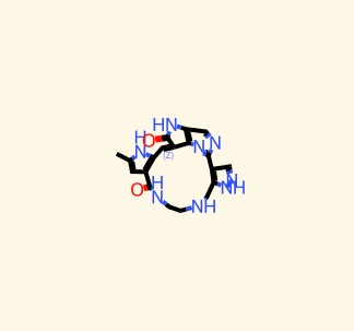 Cc1cc2c([nH]1)/C=C1\C(=O)Nc3cnc(nc31)-c1cn[nH]c1CNCCNC2=O